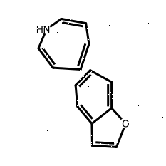 C1=CC=CNC=C1.c1ccc2occc2c1